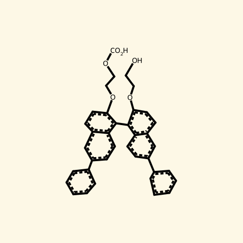 O=C(O)OCCOc1ccc2cc(-c3ccccc3)ccc2c1-c1c(OCCO)ccc2cc(-c3ccccc3)ccc12